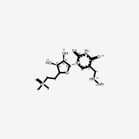 C=P(C)(C)CCC1O[C@@H](n2cc(CNCCC)c(=O)[nH]c2=S)[C@H](O)[C@@H]1O